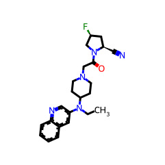 CCN(c1cnc2ccccc2c1)C1CCN(CC(=O)N2C[C@@H](F)C[C@H]2C#N)CC1